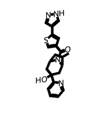 CC1CC2CC(O)(c3ccccn3)CC1N2C(=O)c1csc(-c2cn[nH]c2)c1